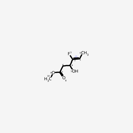 C/C=C(\F)C(O)CC(=O)OC